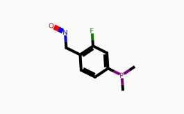 CP(C)c1ccc(CN=O)c(F)c1